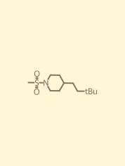 CC(C)(C)CCC1CCN(S(C)(=O)=O)CC1